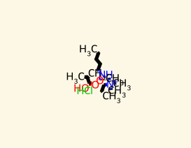 C=C(C)C(=O)O.CCCCCNOC(CC)[N+](C)(C)C.Cl